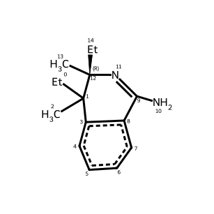 CCC1(C)c2ccccc2C(N)=N[C@]1(C)CC